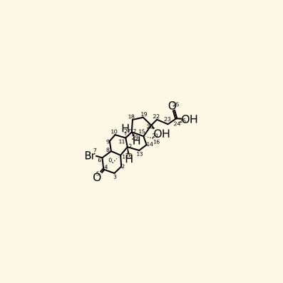 C[C@]12CCC(=O)C(Br)C1CC[C@@H]1[C@@H]2CC[C@@]2(C)[C@H]1CC[C@]2(O)CCC(=O)O